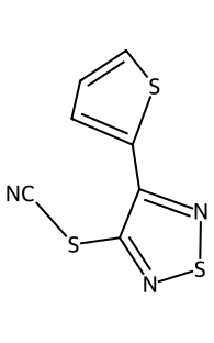 N#CSc1nsnc1-c1cccs1